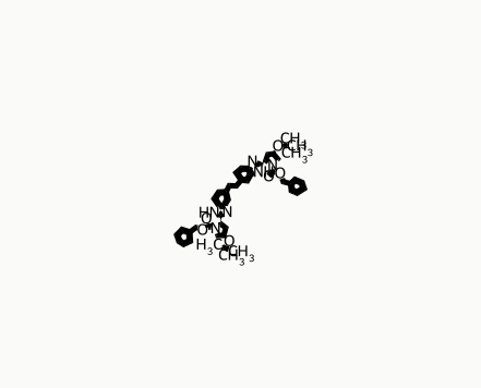 CC(C)(C)O[C@@H]1C[C@@H](c2nc3cc(CCc4ccc5nc([C@@H]6C[C@@H](OC(C)(C)C)CN6C(=O)OCc6ccccc6)[nH]c5c4)ccc3[nH]2)N(C(=O)OCc2ccccc2)C1